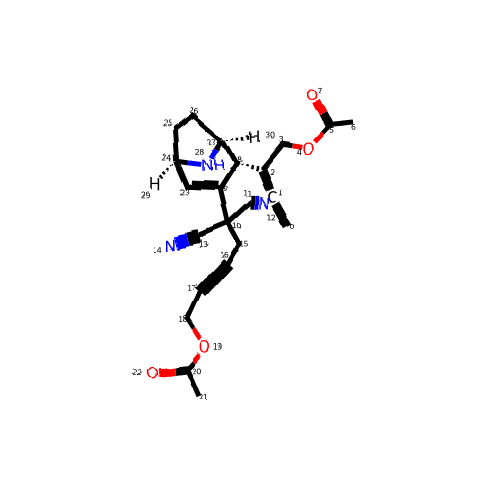 C=C=C(COC(C)=O)[C@@H]1C(C(C#N)(C#N)CC#CCOC(C)=O)=C[C@H]2CC[C@@H]1N2